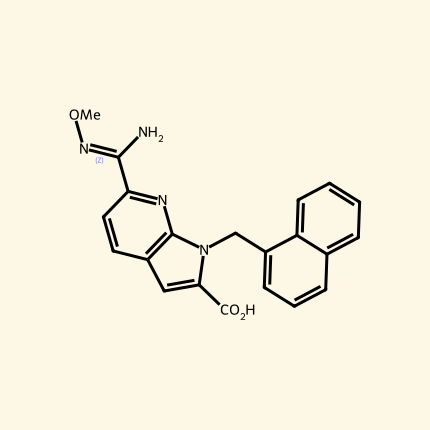 CO/N=C(\N)c1ccc2cc(C(=O)O)n(Cc3cccc4ccccc34)c2n1